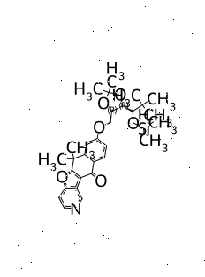 C[SiH](C)OC([C@@H]1OC(C)(C)O[C@@H]1COc1ccc2c(c1)C(C)(C)c1oc3ccncc3c1C2=O)C(C)(C)C